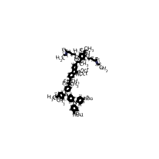 C=C/C=C(\CC)CCCOc1cc(C(C)(C)CC)c(OCCC/C(=C/C=C)CC)cc1C(C)C(C)c1ccc2c(c1)C(CCCCCCCC)(CCCCCCCC)c1cc(C(C)(CC)C(C)(CC)c3ccc(N(c4ccc(N(c5ccc(CCCC)cc5)c5ccc(CCCC)cc5)cc4)c4ccc(C(C)(C)CC)cc4)cc3)ccc1-2